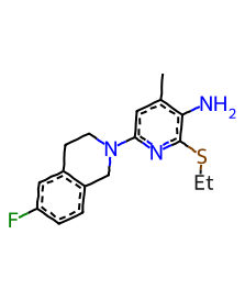 CCSc1nc(N2CCc3cc(F)ccc3C2)cc(C)c1N